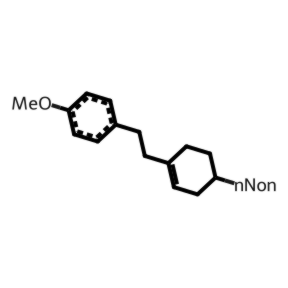 CCCCCCCCCC1CC=C(CCc2ccc(OC)cc2)CC1